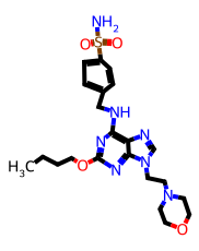 CCCCOc1nc(NCc2ccc(S(N)(=O)=O)cc2)c2ncn(CCN3CCOCC3)c2n1